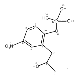 CC(O)Cc1cc([N+](=O)[O-])ccc1OP(=O)(O)O